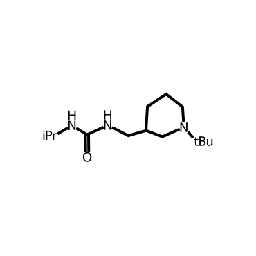 CC(C)NC(=O)NCC1CCCN(C(C)(C)C)C1